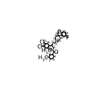 Cc1cccc(C(=O)N(C)CC(CCN2CCC3(CC2)COc2ccc(F)cc23)c2ccc(Cl)c(Cl)c2)c1